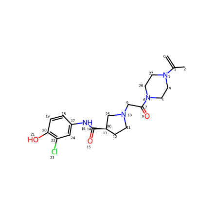 C=C(C)N1CCN(C(=O)CN2CC[C@@H](C(=O)Nc3ccc(O)c(Cl)c3)C2)CC1